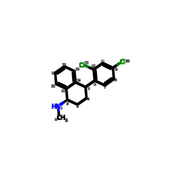 CN[C@@H]1CCC(c2ccc(Cl)cc2Cl)c2ccccc21